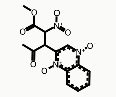 COC(=O)C(C(C(C)=O)c1c[n+]([O-])c2ccccc2[n+]1[O-])[N+](=O)[O-]